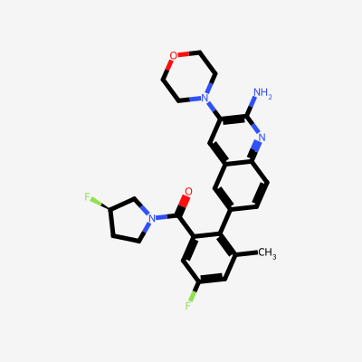 Cc1cc(F)cc(C(=O)N2CC[C@@H](F)C2)c1-c1ccc2nc(N)c(N3CCOCC3)cc2c1